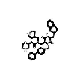 O=C1NC(Cc2ccc3ccccc3c2)C(=O)N(Cc2ccc(-c3ccccc3)cc2)C1CN(CC1CCNCC1)C(=O)CC1CNCCO1